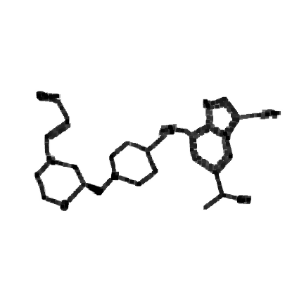 CC(C)c1cnc2c(NC3CCN(C[C@@H]4CN(C=CC=O)CCO4)CC3)cc(C(C)O)cn12